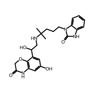 CC(C)(CCCn1c(=O)[nH]c2ccccc21)NCC(O)c1cc(O)cc2c1OCC(=O)N2